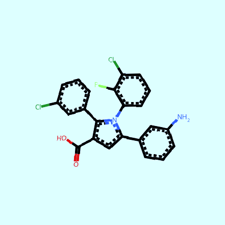 Nc1cccc(-c2cc(C(=O)O)c(-c3cccc(Cl)c3)n2-c2cccc(Cl)c2F)c1